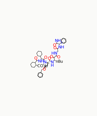 CCCCC(NC(=O)[C@@H]1C[C@@H](OCc2ccccc2)CN1C(=O)C(NC(=O)C1CCCCC1C(=O)O)C1CCCCC1)C(=O)C(=O)NCC(=O)NC(C(N)=O)c1ccccc1